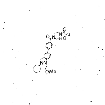 COCCN1c2ccc(-c3ccc(C(=O)N4CCN(C(=O)C5(O)CC5)CC4)cc3)cc2CN1C1CCCCCC1